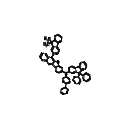 CC1(C)c2ccccc2-c2ccc(-c3c4ccccc4cc4c3oc3cc(N(c5ccc(-c6ccccc6)cc5)c5ccc6c(c5)C(c5ccccc5)(c5ccccc5)c5ccccc5-6)ccc34)cc21